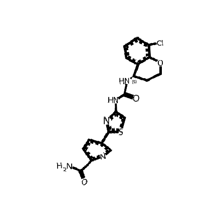 NC(=O)c1ccc(-c2nc(NC(=O)N[C@H]3CCOc4c(Cl)cccc43)cs2)cn1